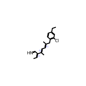 C/C=C(C=N)/C(C)=C/C=C(\C)Cc1ccc(CC)cc1Cl